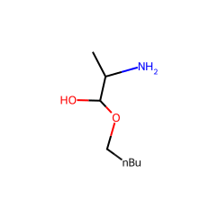 CCCCCOC(O)C(C)N